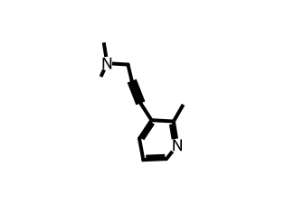 Cc1ncccc1C#CCN(C)C